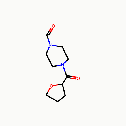 O=CN1CCN(C(=O)C2CCCO2)CC1